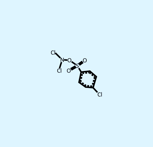 O=S(=O)(ON(Cl)Cl)c1ccc(Cl)cc1